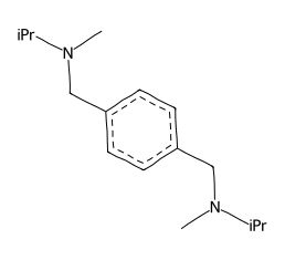 CC(C)N(C)Cc1ccc(CN(C)C(C)C)cc1